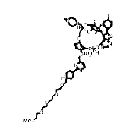 COCCOCCOCCOCCOC[C@@]1(F)CC=C(c2nccc(COc3ccc4cc3C[C@H](C(=O)O)Oc3ncnc5sc(-c6ccc(F)cc6)c(c35)-c3c(C)c(Cl)c(c(Cl)c3C)O[C@H](CN3CCN(C)CC3)CO4)n2)CC1